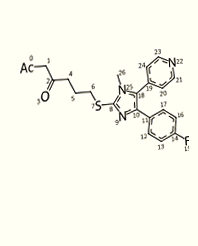 CC(=O)CC(=O)CCCSc1nc(-c2ccc(F)cc2)c(-c2ccncc2)n1C